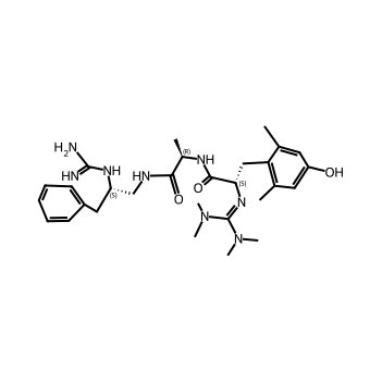 Cc1cc(O)cc(C)c1C[C@H](N=C(N(C)C)N(C)C)C(=O)N[C@H](C)C(=O)NC[C@H](Cc1ccccc1)NC(=N)N